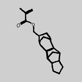 C=C(C)C(=O)OCC1CC2CC1C1C3CC(C4CCCC43)C21